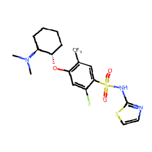 CN(C)[C@H]1CCCC[C@@H]1Oc1cc(F)c(S(=O)(=O)Nc2nccs2)cc1C(F)(F)F